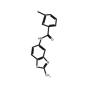 Cc1nc2cc(NC(=O)c3cccc(I)c3)ccc2s1